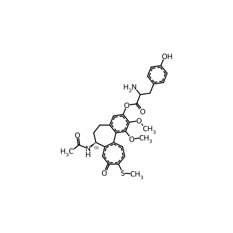 COc1c(OC(=O)C(N)Cc2ccc(O)cc2)cc2c(c1OC)-c1ccc(SC)c(=O)cc1[C@@H](NC(C)=O)CC2